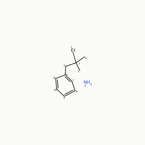 N.[CH2]CC(C)(C)Cc1ccccc1